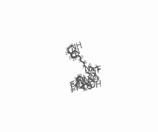 CO[C@H](CF)CN(CCCCc1ccc2c(n1)NCCC2)CC[C@H](NC(=O)C1(n2nccc2C(F)(F)F)CC1)C(=O)O